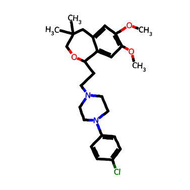 COc1cc2c(cc1OC)C(CCN1CCN(c3ccc(Cl)cc3)CC1)OCC(C)(C)C2